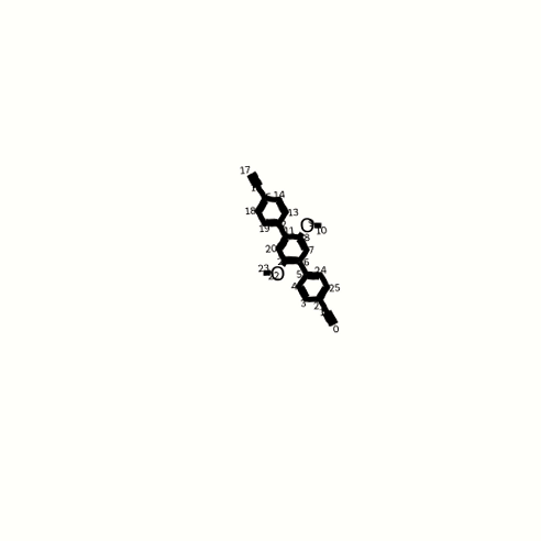 C#Cc1ccc(-c2cc(OC)c(-c3ccc(C#C)cc3)cc2OC)cc1